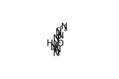 Cc1cn2cc(NC(=O)c3cnc(N4CCC(CN(C)C5CC5)C4)cn3)nc(C)c2n1